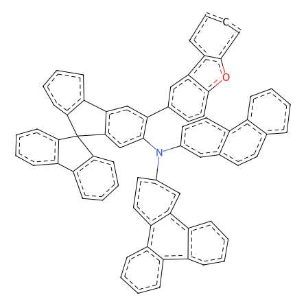 c1ccc2c(c1)-c1ccccc1C21c2ccccc2-c2cc(-c3ccc4oc5ccccc5c4c3)c(N(c3ccc4c(ccc5ccccc54)c3)c3ccc4c5ccccc5c5ccccc5c4c3)cc21